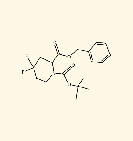 CC(C)(C)OC(=O)N1CCC(F)(F)CC1C(=O)OCc1ccccc1